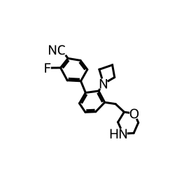 N#Cc1ccc(-c2cccc(CC3CNCCO3)c2N2CCC2)cc1F